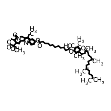 CCc1c2c(nc3ccc(OC(=O)CCCCCCCCCCC(=O)Oc4c(C)c(C)c5c(c4C)CC[C@@](C)(CCC[C@H](C)CCC[C@H](C)CCCC(C)C)O5)cc13)-c1cc3c(c(=O)n1C2)COC(=O)[C@]3(O)CC